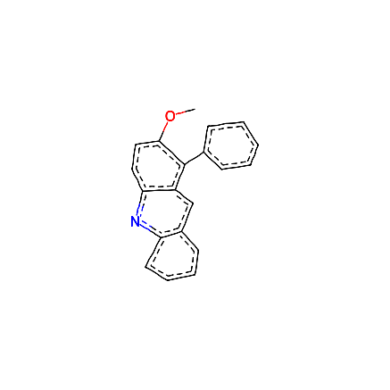 COc1ccc2nc3ccccc3cc2c1-c1ccccc1